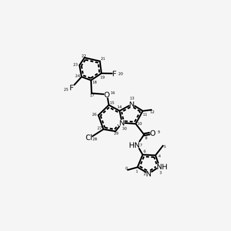 Cc1n[nH]c(C)c1NC(=O)c1c(C)nc2c(OCc3c(F)cccc3F)cc(Cl)cn12